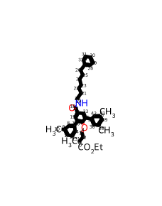 CCOC(=O)CCCOc1c(-c2cc(C)cc(C)c2)cc(C(=O)NCCCCCCCc2ccccc2)cc1-c1cc(C)cc(C)c1